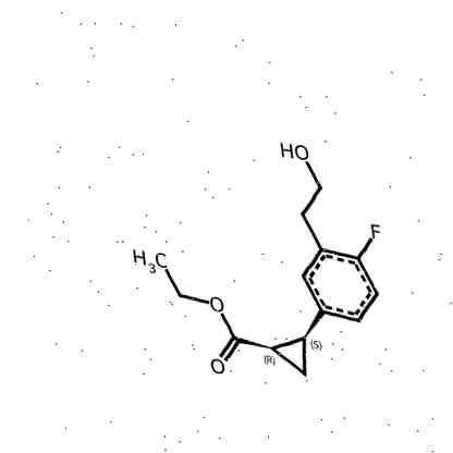 CCOC(=O)[C@@H]1C[C@@H]1c1ccc(F)c(CCO)c1